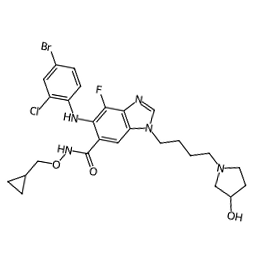 O=C(NOCC1CC1)c1cc2c(ncn2CCCCN2CCC(O)C2)c(F)c1Nc1ccc(Br)cc1Cl